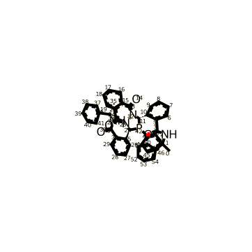 CC(NC(=O)c1ccccc1[C@H]1n2c(=O)c3ccccc3c(=O)n2[C@H](c2ccccc2C(=O)N[C@@H](C)c2ccccc2)P1c1ccccc1)c1ccccc1